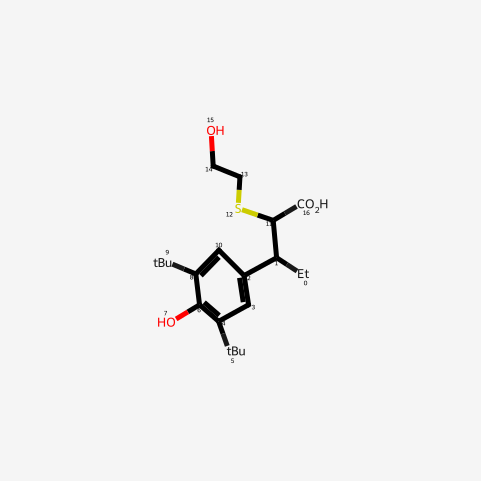 CCC(c1cc(C(C)(C)C)c(O)c(C(C)(C)C)c1)C(SCCO)C(=O)O